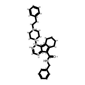 O=C(NCc1ccccc1)c1c2ncnn(N3CCN(CCc4ccccc4)CC3)c-2c2c1CCCC2